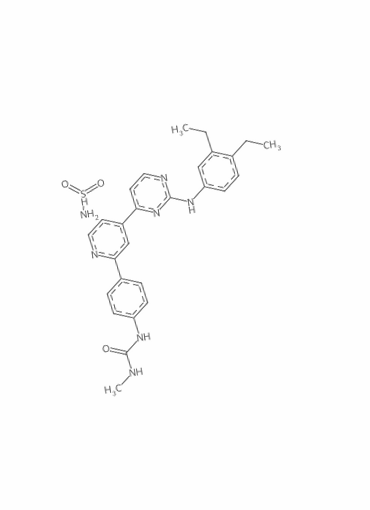 CCc1ccc(Nc2nccc(-c3ccnc(-c4ccc(NC(=O)NC)cc4)c3)n2)cc1CC.N[SH](=O)=O